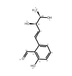 C[C@@H](O)[C@H](O)/C=C/c1cccc(O)c1C=O